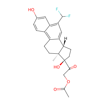 CC(=O)OCC(=O)[C@@]1(O)CC[C@H]2c3cc(C(F)F)c4cc(O)ccc4c3CC[C@@]21C